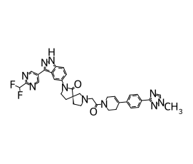 Cn1cnc(-c2ccc(C3=CCN(C(=O)CN4CC[C@]5(CCN(c6ccc7[nH]nc(-c8cnc(C(F)F)nc8)c7c6)C5=O)C4)CC3)cc2)n1